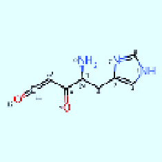 N[C@@H](Cc1c[nH]cn1)C(=O)C=C=O